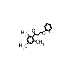 Cc1cc(C)c(C(=O)CCOc2[c]cccc2)c(C)c1